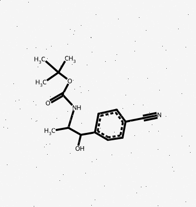 CC(NC(=O)OC(C)(C)C)C(O)c1ccc(C#N)cc1